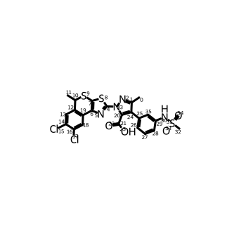 Cc1nn(-c2nc3c(s2)SC(C)c2cc(Cl)c(Cl)cc2-3)c(C(=O)O)c1-c1cccc(NS(C)(=O)=O)c1